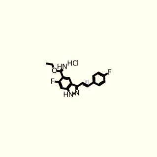 CCOC(=N)c1cc2c(/C=C/c3ccc(F)cc3)n[nH]c2cc1F.Cl